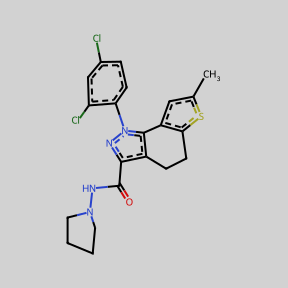 Cc1cc2c(s1)CCc1c(C(=O)NN3CCCC3)nn(-c3ccc(Cl)cc3Cl)c1-2